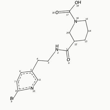 O=C(NCCc1ccc(Br)nc1)C1CCCN(C(=O)O)C1